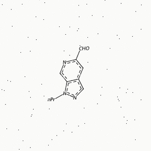 CCCn1ncc2cc(C=O)ncc21